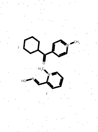 C[n+]1ccc(C(=O)C2CCCCC2)cc1.C[n+]1ccccc1C=NO.[I-].[I-]